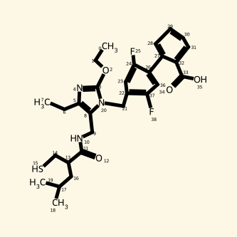 CCOc1nc(CC)c(CNC(=O)C(CS)CC(C)C)n1Cc1cc(F)c(-c2ccccc2C(=O)O)cc1F